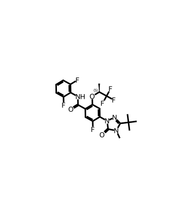 C[C@H](Oc1cc(-n2nc(C(C)(C)C)n(C)c2=O)c(F)cc1C(=O)Nc1c(F)cccc1F)C(F)(F)F